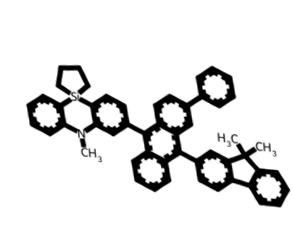 CN1c2ccccc2[Si]2(CCCC2)c2ccc(-c3c4ccccc4c(-c4ccc5c(c4)C(C)(C)c4ccccc4-5)c4cc(-c5ccccc5)ccc34)cc21